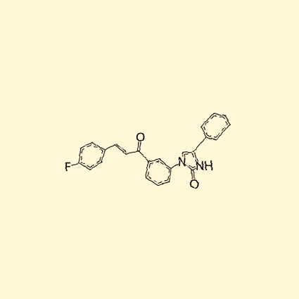 O=C(C=Cc1ccc(F)cc1)c1cccc(-n2cc(-c3ccccc3)[nH]c2=O)c1